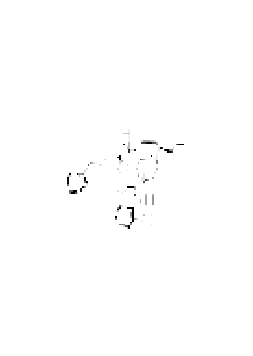 C=C/C=C(\C=C/CNC(=O)CCCc1ccccc1)N1CCN(C(=O)Nc2ccccc2Cl)CC1